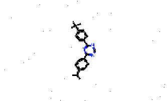 CC(C)c1ccc(-c2ncnc(-c3ccc(C(C)(C)C)cc3)n2)cc1